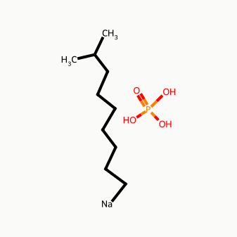 CC(C)CCCCCC[CH2][Na].O=P(O)(O)O